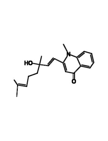 CC(C)=CCCC(C)(O)/C=C/c1cc(=O)c2ccccc2n1C